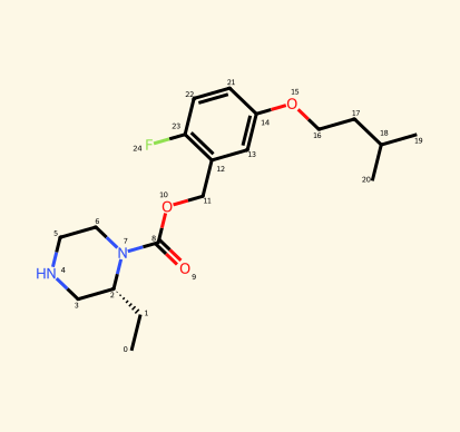 CC[C@@H]1CNCCN1C(=O)OCc1cc(OCCC(C)C)ccc1F